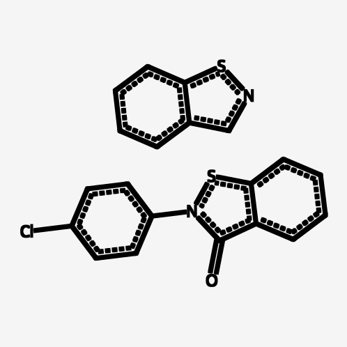 O=c1c2ccccc2sn1-c1ccc(Cl)cc1.c1ccc2sncc2c1